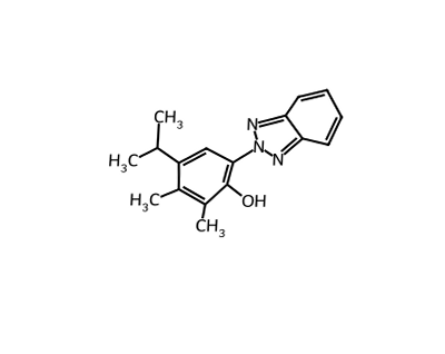 Cc1c(C(C)C)cc(-n2nc3ccccc3n2)c(O)c1C